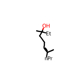 CCCC(C)=CCCC(C)(O)CC